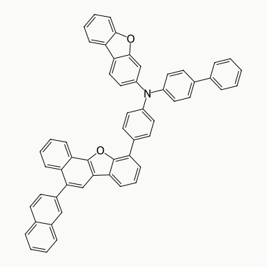 c1ccc(-c2ccc(N(c3ccc(-c4cccc5c4oc4c6ccccc6c(-c6ccc7ccccc7c6)cc54)cc3)c3ccc4c(c3)oc3ccccc34)cc2)cc1